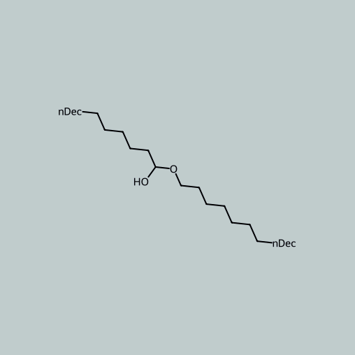 CCCCCCCCCCCCCCCCCOC(O)CCCCCCCCCCCCCCC